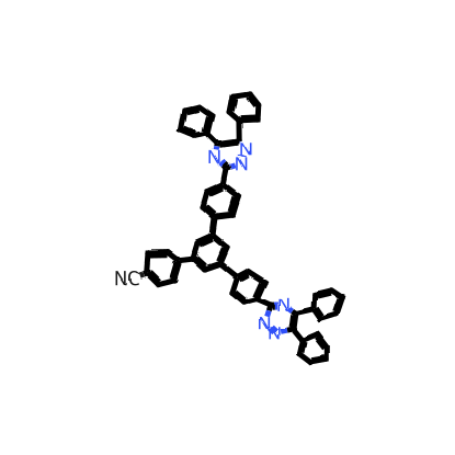 N#Cc1ccc(-c2cc(-c3ccc(-c4nnc(-c5ccccc5)c(-c5ccccc5)n4)cc3)cc(-c3ccc(-c4nnc(-c5ccccc5)c(-c5ccccc5)n4)cc3)c2)cc1